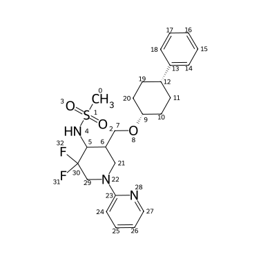 CS(=O)(=O)NC1C(CO[C@H]2CC[C@@H](c3ccccc3)CC2)CN(c2ccccn2)CC1(F)F